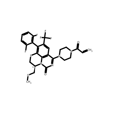 C=CC(=O)N1CCN(c2nc(=O)n3c4c(c(-c5c(F)cccc5F)c(C(F)(F)F)cc24)SC[C@@H]3COC)CC1